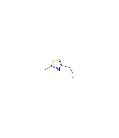 C#C[CH]c1csc(C)n1